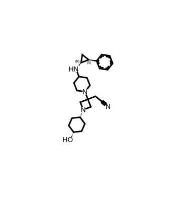 N#CCC1(N2CCC(N[C@@H]3C[C@H]3c3ccccc3)CC2)CN([C@H]2CC[C@@H](O)CC2)C1